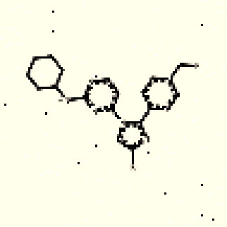 FCc1ccc(-c2nc(Br)cn2-c2ccnc(NC3CCCCC3)n2)cc1